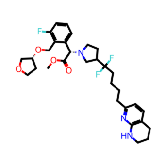 COC(=O)[C@H](c1cccc(F)c1CO[C@@H]1CCOC1)N1CCC(C(F)(F)CCCCc2ccc3c(n2)NCCC3)C1